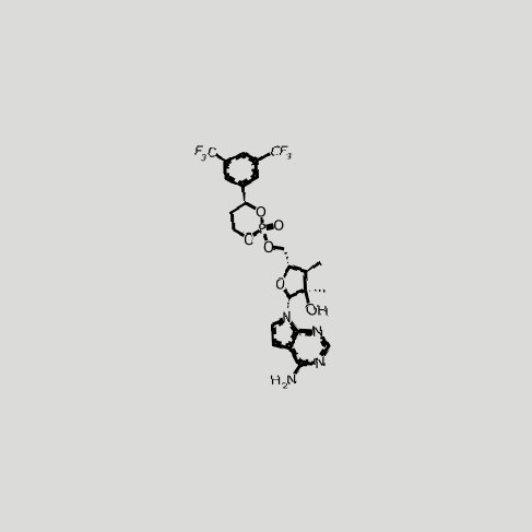 C[C@@H]1[C@@H](COP2(=O)OCC[C@@H](c3cc(C(F)(F)F)cc(C(F)(F)F)c3)O2)O[C@@H](n2ccc3c(N)ncnc32)[C@]1(C)O